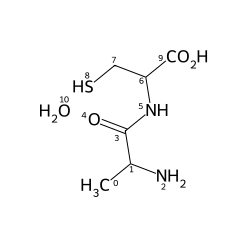 CC(N)C(=O)NC(CS)C(=O)O.O